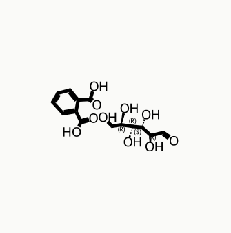 O=C(O)c1ccccc1C(=O)O.O=C[C@H](O)[C@@H](O)[C@H](O)[C@H](O)CO